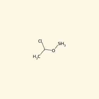 C[C](Cl)O[SiH3]